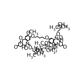 COc1cc2c(cc1OCCCCCOc1cc3c(cc1O[Si](C(C)C)(C(C)C)C(C)C)C(=O)N1CC(=O)C[C@H]1C(=O)N3COCC[Si](C)(C)C)N(COCC[Si](C)(C)C)C(=O)[C@@H]1CC(=O)CN1C2=O